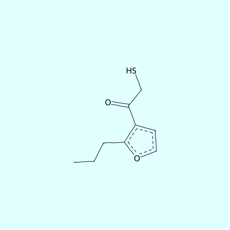 CCCc1occc1C(=O)CS